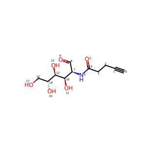 C#CCCC(=O)N[C@H](C=O)[C@@H](O)[C@H](O)[C@H](O)CO